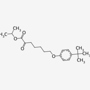 CC(C)OC(=O)C(=O)CCCCCOc1ccc(C(C)(C)C)cc1